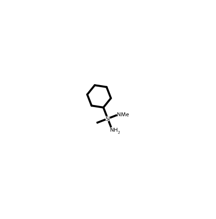 CN[Si](C)(N)C1CCCCC1